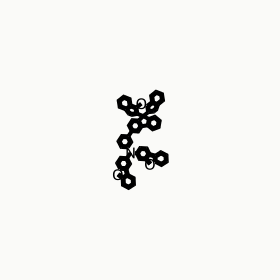 c1cc(-c2ccc3c(c2)-c2ccccc2C32c3ccc4ccccc4c3Oc3c2ccc2ccccc32)cc(N(c2ccc3c(c2)oc2ccccc23)c2ccc3oc4ccccc4c3c2)c1